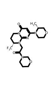 C[C@@H]1COCCN1c1cc(=O)n2c(n1)N(CC(=O)N1CCCOC1)[C@H](C(F)(F)F)CC2